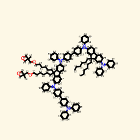 CCCCCCC1(CCCCCC)c2cc(N(c3ccccc3)c3ccccc3)ccc2-c2ccc(N(c3ccccc3)c3ccc(-c4ccc(N(c5ccccc5)c5ccc6c(c5)C(CCCCCCOCC5(C)COC5)(CCCCCCOCC5(C)COC5)c5cc(N(c7ccccc7)c7ccc(-c8ccc(N(c9ccccc9)c9ccccc9)cc8)cc7)ccc5-6)cc4)cc3)cc21